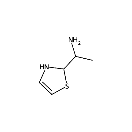 CC(N)C1NC=CS1